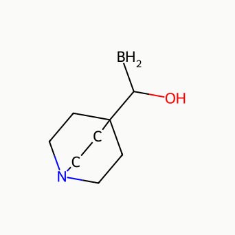 BC(O)C12CCN(CC1)CC2